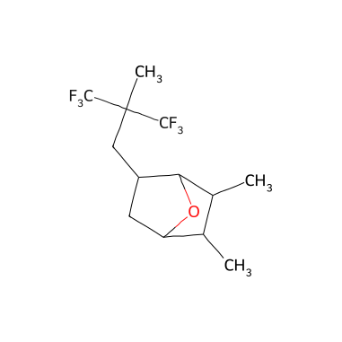 CC1C2CC(CC(C)(C(F)(F)F)C(F)(F)F)C(O2)C1C